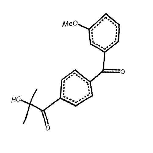 COc1cccc(C(=O)c2ccc(C(=O)C(C)(C)O)cc2)c1